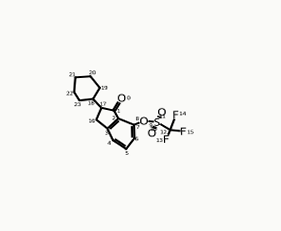 O=C1c2c(cccc2OS(=O)(=O)C(F)(F)F)CC1C1CCCCC1